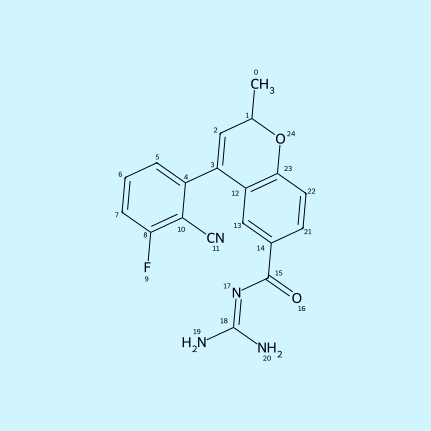 CC1C=C(c2cccc(F)c2C#N)c2cc(C(=O)N=C(N)N)ccc2O1